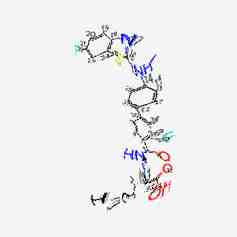 CCC[C@H](NC(=O)c1ccc(-c2ccc(Nc3nc4ccc(F)cc4s3)cc2)cc1F)C(=O)O